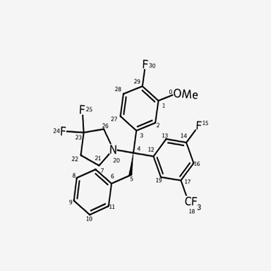 COc1cc([C@](Cc2ccccc2)(c2cc(F)cc(C(F)(F)F)c2)N2CCC(F)(F)C2)ccc1F